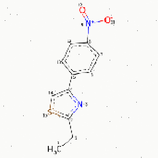 CCc1nc(-c2ccc([N+](=O)[O-])cc2)cs1